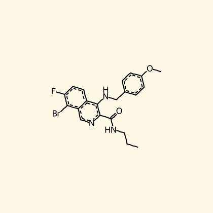 CCCNC(=O)c1ncc2c(Br)c(F)ccc2c1NCc1ccc(OC)cc1